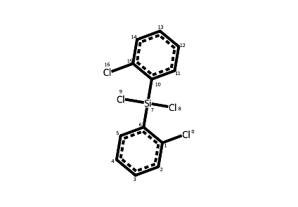 Clc1ccccc1[Si](Cl)(Cl)c1ccccc1Cl